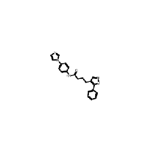 O=C(CCCc1cnoc1-c1ccccc1)Nc1ccc(-n2ccnc2)cc1